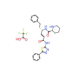 O=C(C=C[C@H](CCc1ccccc1)NC(=O)[C@@H]1CCCCN1)Nc1nnc(-c2ccccc2)s1.O=C(O)C(F)(F)F